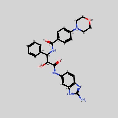 Nc1nc2ccc(NC(=O)C(O)C(NC(=O)c3ccc(N4CCOCC4)cc3)c3ccccc3)cc2[nH]1